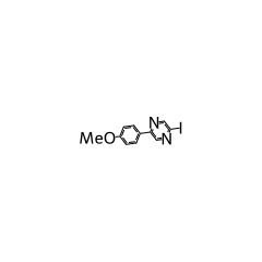 COc1ccc(-c2cnc(I)cn2)cc1